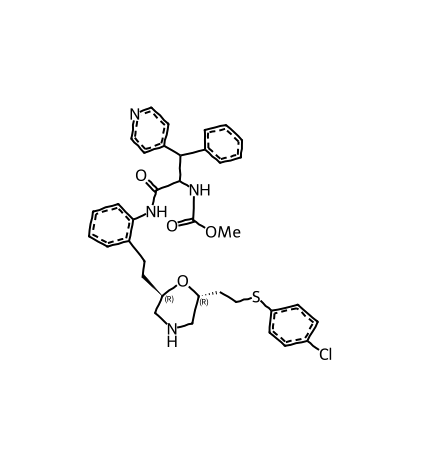 COC(=O)NC(C(=O)Nc1ccccc1CC[C@@H]1CNC[C@@H](CCSc2ccc(Cl)cc2)O1)C(c1ccccc1)c1ccncc1